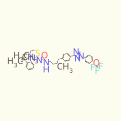 CC(CCNC(=O)/N=C1\SCCC(C)N1c1ccccc1C(C)C)Cc1ccc(-c2ncn(-c3ccc(OC(F)(F)F)cc3)n2)cc1